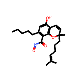 CCCCCc1cc(O)c2c(c1C(=O)N=O)OC(C)(CCCC=C(C)C)C=C2